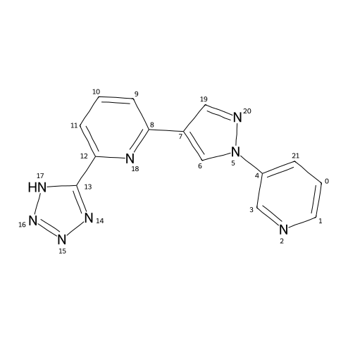 c1cncc(-n2cc(-c3cccc(-c4nnn[nH]4)n3)cn2)c1